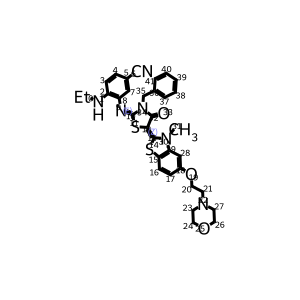 CCNc1ccc(C#N)cc1/N=C1/S/C(=C2\Sc3ccc(OCCN4CCOCC4)cc3N2C)C(=O)N1Cc1ccccc1